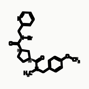 CN(Cc1ccc(OC(F)(F)F)cc1)C(=O)[C@@H]1CC[C@@H](C(=O)N(Br)Cc2ccccn2)C1